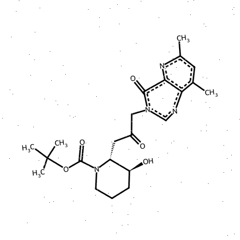 Cc1cc(C)c2ncn(CC(=O)C[C@@H]3[C@@H](O)CCCN3C(=O)OC(C)(C)C)c(=O)c2n1